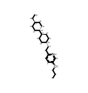 CCCOc1ccc(CC[C@H]2CC[C@H]([C@H]3CC[C@H](CC)CC3)CC2)nc1